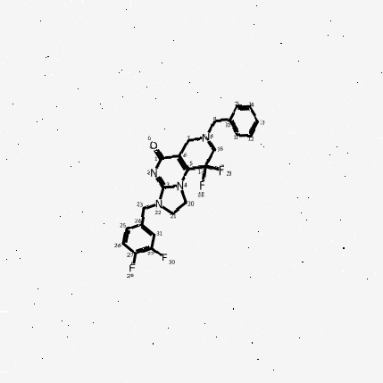 O=c1nc2n(c3c1CN(Cc1ccccc1)CC3(F)F)CCN2Cc1ccc(F)c(F)c1